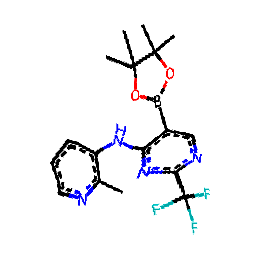 Cc1ncccc1Nc1nc(C(F)(F)F)ncc1B1OC(C)(C)C(C)(C)O1